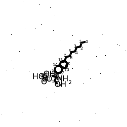 CCCCCCCCc1ccc2c(c1)CC[C@H](C(N)(CO)COP(=O)(O)O)C2